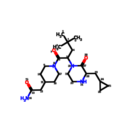 CC(C)(C)CC(C(=O)N1CCC(CC(N)=O)CC1)N1CCNC(CC2CC2)C1=O